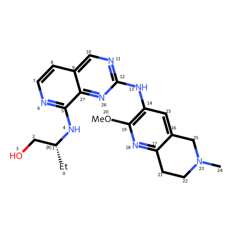 CC[C@H](CO)Nc1nccc2cnc(Nc3cc4c(nc3OC)CCN(C)C4)nc12